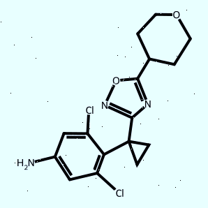 Nc1cc(Cl)c(C2(c3noc(C4CCOCC4)n3)CC2)c(Cl)c1